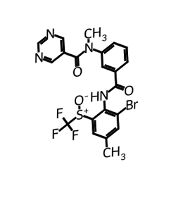 Cc1cc(Br)c(NC(=O)c2cccc(N(C)C(=O)c3cncnc3)c2)c([S+]([O-])C(F)(F)F)c1